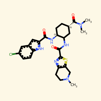 CN1CCc2nc(C(=O)NC3C[C@@H](C(=O)N(C)C)CC[C@@H]3NC(=O)c3cc4cc(Cl)ccc4[nH]3)sc2C1